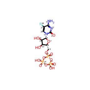 Nc1nc(=O)n([C@@H]2O[C@H](COP3(=O)OP(=O)(O)OP(=O)(O)O3)C(O)C2O)cc1F